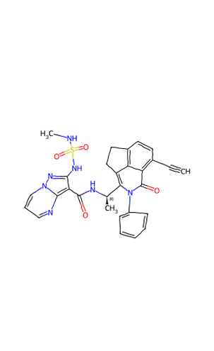 C#Cc1ccc2c3c(c([C@@H](C)NC(=O)c4c(NS(=O)(=O)NC)nn5cccnc45)n(-c4ccccc4)c(=O)c13)CC2